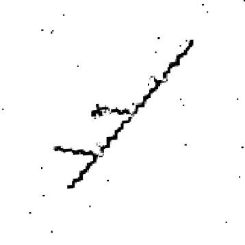 CCCCCCCCCOC(=O)CCCCCCCN(CCCCCCCC(=O)OC(CCCCCCCC)CCCCCCCC)CCCNCC(C)(C)C=O